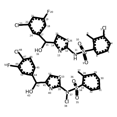 Cc1c(Cl)cccc1S(=O)(=O)Nc1nc(C(O)c2cc(F)cc(Cl)c2)cs1.Cc1ccccc1S(=O)(=O)N(Cl)c1nc(C(O)c2ccc(Cl)c(F)c2)cs1